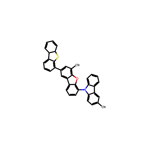 N#Cc1ccc2c(c1)c1ccccc1n2-c1cccc2c1oc1c(C#N)cc(-c3cccc4c3SC3C=CC=CC43)cc12